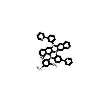 Cc1cc(C)c(B2c3ccc(-c4ccccn4)cc3N3c4cc5ccccc5cc4N(c4cccc(-c5ccccn5)c4)c4cc5ccccc5c2c43)c(C)c1